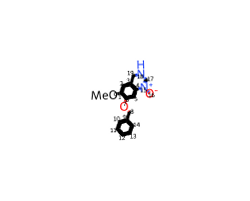 COc1cc2c(cc1OCc1ccccc1)[N+]([O-])=CNC2